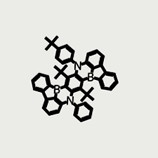 CC(C)(C)c1ccc(N2c3cccc4c3B(c3ccccc3-4)c3c2c(C(C)(C)C)c2c(c3C(C)(C)C)N(c3ccccc3)c3cccc4c3B2c2ccccc2-4)cc1